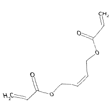 C=CC(=O)OC/C=C\COC(=O)C=C